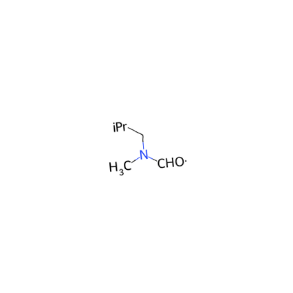 CC(C)CN(C)[C]=O